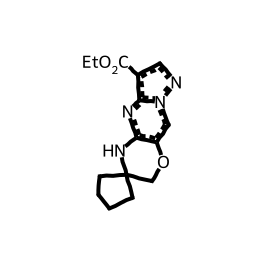 CCOC(=O)c1cnn2cc3c(nc12)NC1(CCCC1)CO3